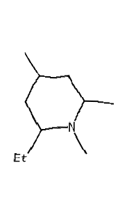 CCC1CC(C)CC(C)N1C